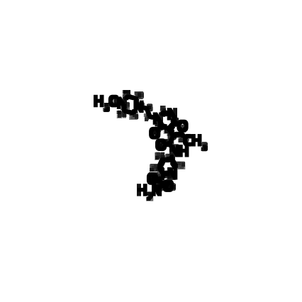 Cc1oc2ncn(CCN3CCN(C)CC3)c(=O)c2c1C(=O)Nc1ccc(S(N)(=O)=O)nc1